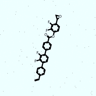 C=Cc1ccc(-c2ccc(-c3ccc(C(=O)Oc4ccc(C5CO5)c(F)c4F)cc3)c(F)c2F)cc1